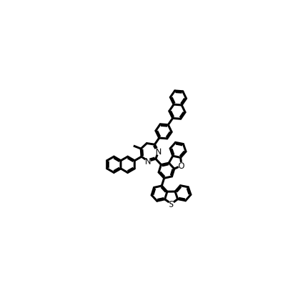 CC1=C(c2ccc3ccccc3c2)N=C(c2cc(-c3cccc4sc5ccccc5c34)cc3oc4ccccc4c23)N=C(c2ccc(-c3ccc4ccccc4c3)cc2)C1